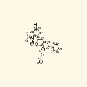 COCCCOc1cc(C(=O)N(C(C)C)[C@@H]2CCCNC2)ccc1CCc1ccccc1